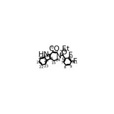 CCOC(=O)C1=CN(C(=O)c2cccc(F)c2F)CCc2c1[nH]c1ccccc21